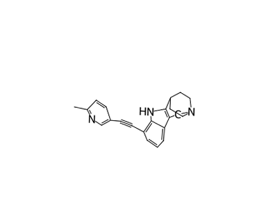 Cc1ccc(C#Cc2cccc3c4c([nH]c23)C2CCN(CC2)C4)cn1